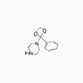 c1ccc(C2(N3CCNCC3)OCO2)cc1